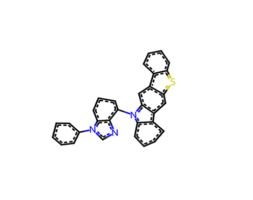 c1ccc(-n2cnc3c(-n4c5ccccc5c5cc6sc7ccccc7c6cc54)cccc32)cc1